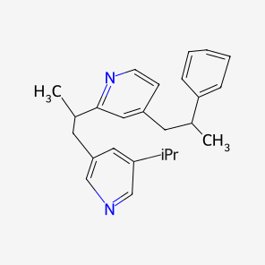 CC(C)c1cncc(CC(C)c2cc(CC(C)c3ccccc3)ccn2)c1